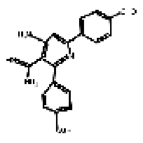 CSc1ccc(-c2nc(-c3ccc(C=O)cc3)cc(N)c2C(=N)N)cc1